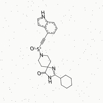 O=C1NC(C2CCCCC2)=NC12CCN([S+]([O-])C#Cc1cccc3[nH]ccc13)CC2